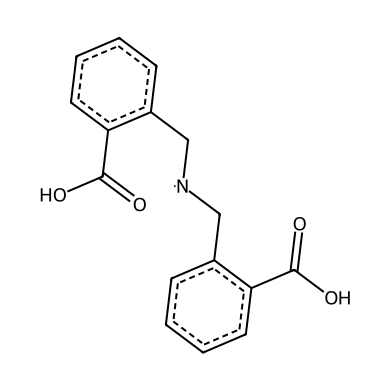 O=C(O)c1ccccc1C[N]Cc1ccccc1C(=O)O